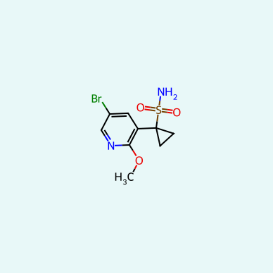 COc1ncc(Br)cc1C1(S(N)(=O)=O)CC1